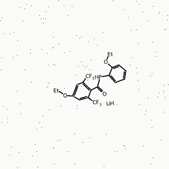 CCOc1cc(C(F)(F)F)c(C(=O)Pc2ccccc2OCC)c(C(F)(F)F)c1.[LiH]